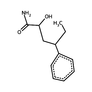 CCC(CC(O)C(N)=O)c1ccccc1